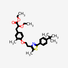 CCOC(=O)C(Cc1ccc(OCCc2nc(-c3ccc(C(C)(C)C)cc3)sc2C)c(C)c1)OCC